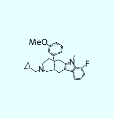 COc1cccc(C23CCN(CC4CC4)CC2Cc2c(n(C)c4c(F)cccc24)C3)c1